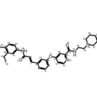 O=C(/C=C/c1cccc(Oc2ccnc(C(=O)NCCN3CCCCC3)c2)c1)Nc1ccc(Cl)c(CF)c1